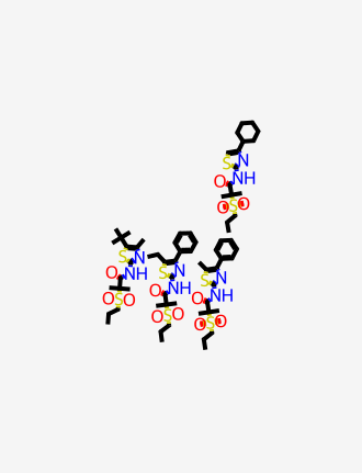 CCCS(=O)(=O)C(C)(C)C(=O)Nc1nc(-c2ccccc2)c(C)s1.CCCS(=O)(=O)C(C)(C)C(=O)Nc1nc(-c2ccccc2)c(CC)s1.CCCS(=O)(=O)C(C)(C)C(=O)Nc1nc(C)c(C(C)(C)C)s1.CCCS(=O)(=O)C(C)(C)C(=O)Nc1nc(C2CCCCC2)cs1